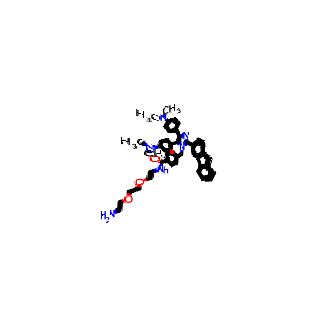 CN(C)c1ccc(-c2nc(-c3ccc4c(c3)-c3ccccc3C4)n(Cc3ccc(C(=O)NCCOCCOCCN)cc3)c2-c2ccc(N(C)C)cc2)cc1